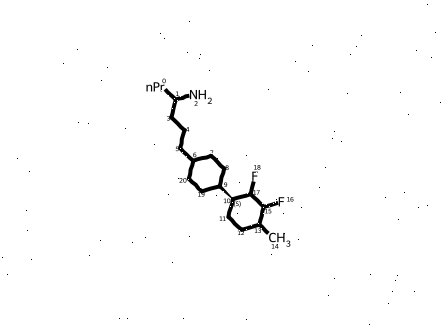 CCCC(N)CCCC1CCC([C@@H]2CCC(C)C(F)C2F)CC1